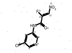 O=C(Nc1cncc(Cl)c1)C(F)=C[N+](=O)[O-]